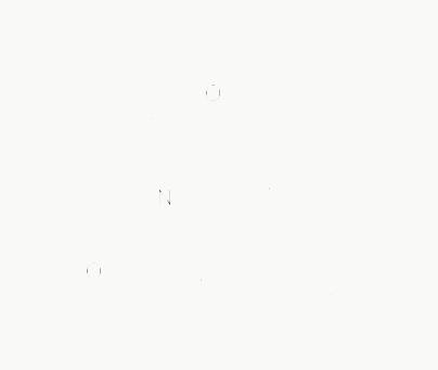 Cc1cccc(N2C(=O)CC(C)C2=O)c1